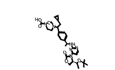 CC(Nc1nccc(N2C(=O)OC[C@@H]2C(C)OC(C)(C)C)n1)c1ccc(C(CC2CC2)N2CCN(C(=O)O)CC2)cc1